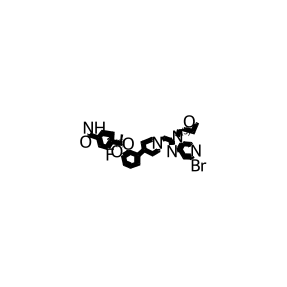 C[C@]1(c2ccc(C(N)=O)cc2F)Oc2cccc(C3CCN(Cc4nc5cc(Br)ncc5n4C[C@@H]4CCO4)CC3)c2O1